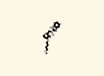 COCCCCOc1ccnc(C[S+]([O-])c2nc3ccccc3[nH]2)c1C